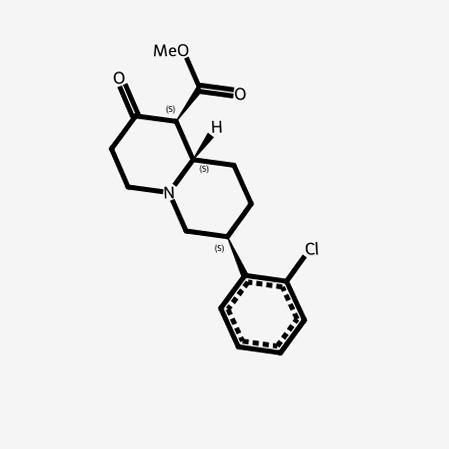 COC(=O)[C@@H]1C(=O)CCN2C[C@H](c3ccccc3Cl)CC[C@@H]12